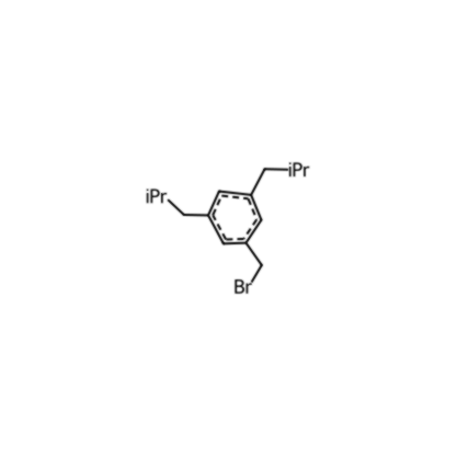 CC(C)Cc1cc(CBr)cc(CC(C)C)c1